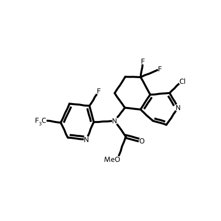 COC(=O)N(c1ncc(C(F)(F)F)cc1F)C1CCC(F)(F)c2c1ccnc2Cl